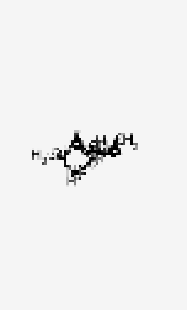 CCc1cccc(CNCC(O)C2Cc3cc(F)cc(c3)OCC(COC)CCNC(=O)CCC(=O)N2)c1